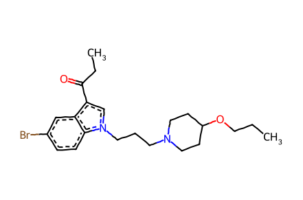 CCCOC1CCN(CCCn2cc(C(=O)CC)c3cc(Br)ccc32)CC1